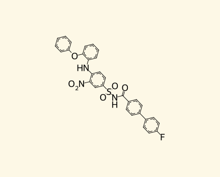 O=C(NS(=O)(=O)c1ccc(Nc2ccccc2Oc2ccccc2)c([N+](=O)[O-])c1)c1ccc(-c2ccc(F)cc2)cc1